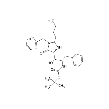 CCCCC1N[C@@H]([C@@H](O)[C@H](Cc2ccccc2)NC(=O)OC(C)(C)C)C(=O)N1Cc1ccccc1